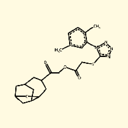 Cc1ccc(C)c(-n2nnnc2SCC(=O)OCC(=O)C2CC3CC4CC(C3)C(C4)C2)c1